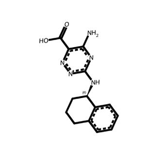 Nc1nc(N[C@@H]2CCCc3ccccc32)nnc1C(=O)O